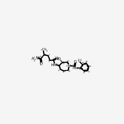 CC(C[CH]C(=O)NC1CCCN(C(=O)Nc2ccccc2F)C[C@@H]1O)C(N)=O